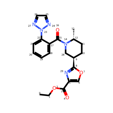 CCOC(=O)c1coc([C@@H]2CC[C@@H](C)N(C(=O)c3ccccc3-n3nccn3)C2)n1